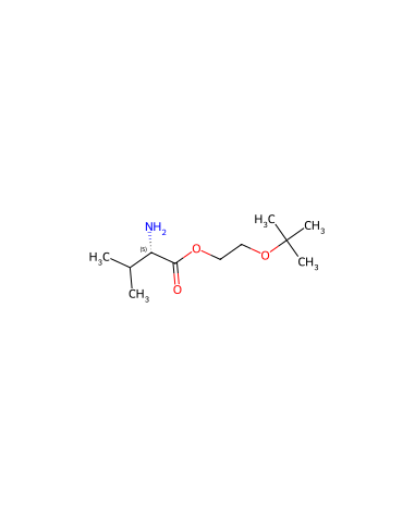 CC(C)[C@H](N)C(=O)OCCOC(C)(C)C